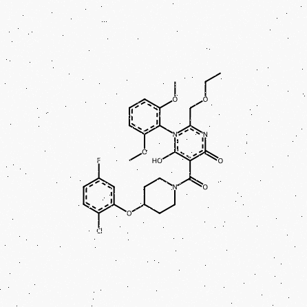 CCOCc1nc(=O)c(C(=O)N2CCC(Oc3cc(F)ccc3Cl)CC2)c(O)n1-c1c(OC)cccc1OC